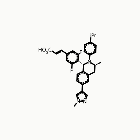 CC(C)c1ccc(N2[C@@H](c3c(F)cc(/C=C/C(=O)O)cc3F)c3ccc(-c4cnn(C)c4)cc3C[C@@H]2C)cc1